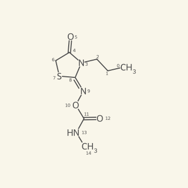 CCCN1C(=O)CSC1=NOC(=O)NC